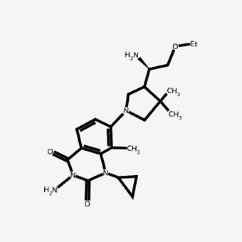 CCOC[C@H](N)C1CN(c2ccc3c(=O)n(N)c(=O)n(C4CC4)c3c2C)CC1(C)C